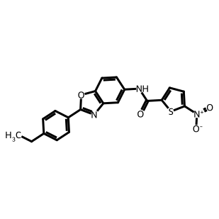 CCc1ccc(-c2nc3cc(NC(=O)c4ccc([N+](=O)[O-])s4)ccc3o2)cc1